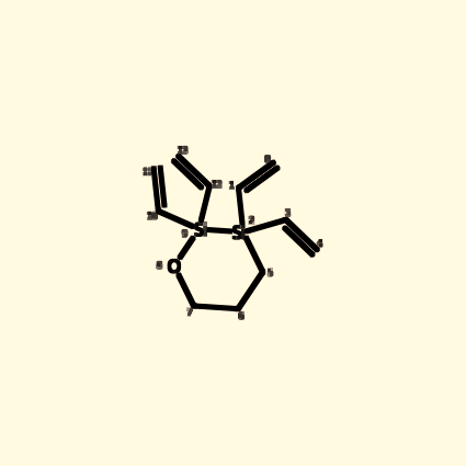 C=C[Si]1(C=C)CCCO[Si]1(C=C)C=C